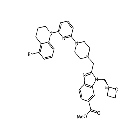 COC(=O)c1ccc2nc(CN3CCN(c4cccc(N5CCCc6c(Br)cccc65)n4)CC3)n(C[C@@H]3CCO3)c2c1